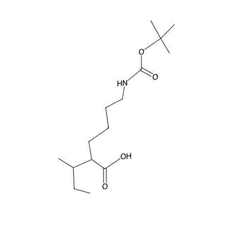 CCC(C)C(CCCCNC(=O)OC(C)(C)C)C(=O)O